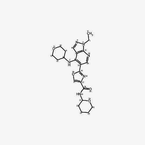 CCn1ncc2c(NC3CCOCC3)c(-c3nc(C(=O)NC4CCCCO4)co3)cnc21